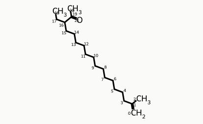 C=C(C)CCCCCCCCCCCCCC(CC)C(C)=O